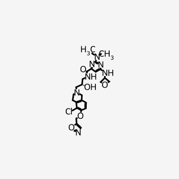 CCN(C)c1nc(NC2COC2)cc(C(=O)NC[C@H](O)CN2CCc3c(ccc(OCc4cnco4)c3Cl)C2)n1